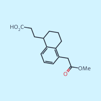 COC(=O)Cc1cccc2c1CCCC2CCC(=O)O